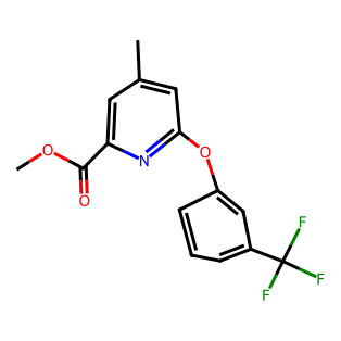 COC(=O)c1cc(C)cc(Oc2cccc(C(F)(F)F)c2)n1